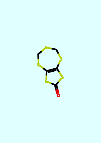 O=c1sc2c(s1)SCSCS2